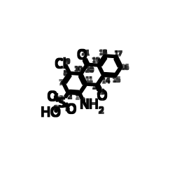 Nc1c(S(=O)(=O)O)cc(Cl)c2c1C(=O)c1ccccc1C2=O